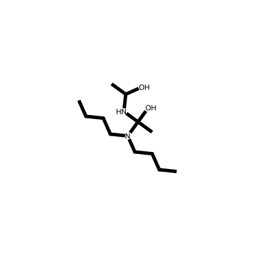 CCCCN(CCCC)C(C)(O)NC(C)O